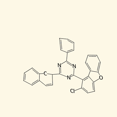 Clc1ccc2oc3ccccc3c2c1-c1nc(-c2ccccc2)nc(C2C=Cc3ccccc3C2)n1